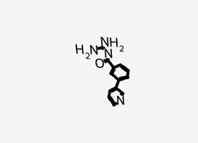 NC(N)=NC(=O)c1cccc(-c2cccnc2)c1